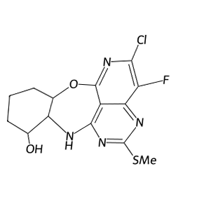 CSc1nc2c3c(nc(Cl)c(F)c3n1)OC1CCCC(O)C1N2